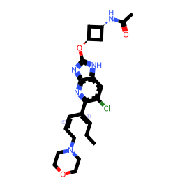 CC/C=C(\C=C/CN1CCOCC1)c1nc2nc(O[C@H]3C[C@@H](NC(C)=O)C3)[nH]c2cc1Cl